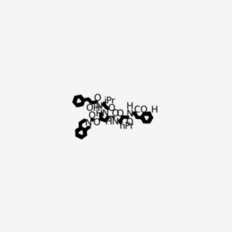 CCCC(NC(=O)[C@@H]1C[C@@H](OC(=O)N2CCc3ccccc3C2)CN1C(=O)C(NC(=O)C(O)Cc1ccccc1)C(C)C)C(=O)C(=O)N[C@@H](Cc1ccccc1)C(=O)O